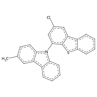 Cc1ccc2c(c1)c1ccccc1n2-c1cc(Cl)cc2c1sc1ccccc12